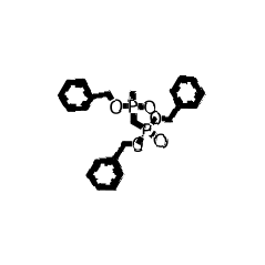 CP(=O)(CP(=O)(OCc1ccccc1)OCc1ccccc1)OCc1ccccc1